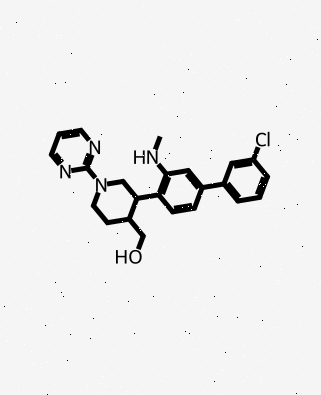 CNc1cc(-c2cccc(Cl)c2)ccc1C1CN(c2ncccn2)CCC1CO